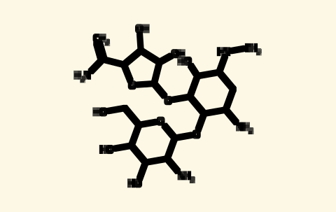 BNC1CC(N)C(OC2OC(CO)C(O)C(O)C2N)C(OC2OC(C(=C)N)C(O)C2O)C1O